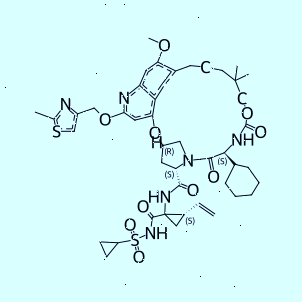 C=C[C@@H]1CC1(NC(=O)[C@@H]1C[C@@H]2CN1C(=O)[C@H](C1CCCCC1)NC(=O)OCC(C)(C)CCCc1cc3c(cc(OCc4csc(C)n4)nc3cc1OC)O2)C(=O)NS(=O)(=O)C1CC1